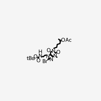 CC(=O)O[C@H](C)CCCCn1c(=O)c2c(nc(Br)n2CCNC(=O)OC(C)(C)C)n(C)c1=O